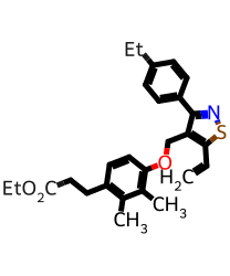 C=Cc1snc(-c2ccc(CC)cc2)c1COc1ccc(CCC(=O)OCC)c(C)c1C